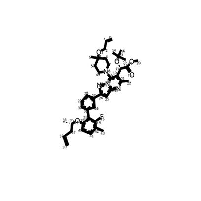 C=CCOC1(C)CCN(c2c([C@H](OC(C)(C)C)C(=O)OC)c(C)nc3cc(-c4cccc(-c5c(O[C@@H](C)CC=C)ccc(C)c5F)c4)nn23)CC1